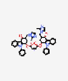 Cc1nccn1CC1CC(OC(=O)/C=C\C(=O)OC2CC(Cn3ccnc3C)C(=O)c3c2n(-c2ccccc2)c2ccccc32)c2c(c3ccccc3n2-c2ccccc2)C1=O